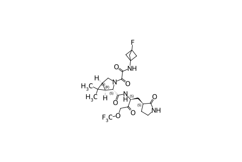 CC1(C)[C@@H]2[C@@H](C(=O)N[C@@H](C[C@@H]3CCNC3=O)C(=O)COC(F)(F)F)N(C(=O)C(=O)NC34CC(F)(C3)C4)C[C@@H]21